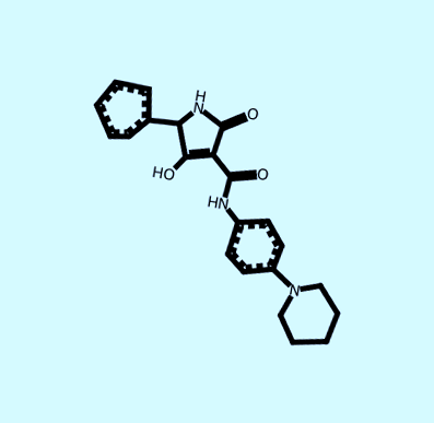 O=C(Nc1ccc(N2CCCCC2)cc1)C1=C(O)C(c2ccccc2)NC1=O